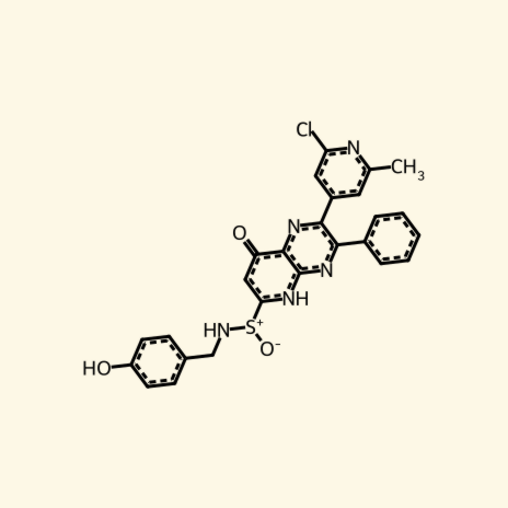 Cc1cc(-c2nc3c(=O)cc([S+]([O-])NCc4ccc(O)cc4)[nH]c3nc2-c2ccccc2)cc(Cl)n1